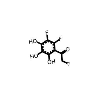 O=C(CF)c1c(O)c(O)c(O)c(F)c1F